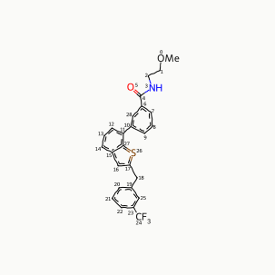 COCCNC(=O)c1cccc(-c2cccc3cc(Cc4cccc(C(F)(F)F)c4)sc23)c1